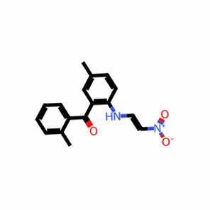 Cc1ccc(NC=C[N+](=O)[O-])c(C(=O)c2ccccc2C)c1